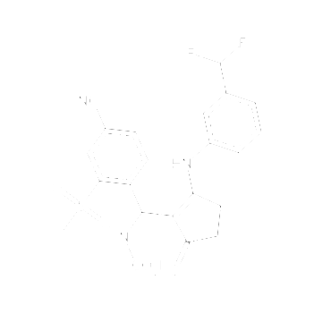 CS(=O)(=O)c1cc(C#N)ccc1C(NC(=O)O)C1=C(Nc2cccc(C(F)F)c2)CCC1=O